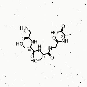 C[C@H](NC(=O)CNC(=O)[C@H](CO)NC(=O)[C@H](CO)NC(=O)CN)C(=O)O